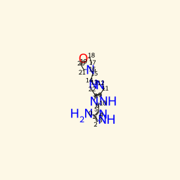 Nc1c[nH]nc1-c1nc2c([nH]1)C=NN(CCN1CCOCC1)C2